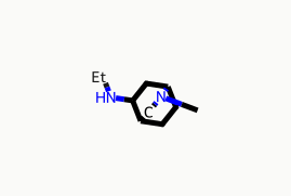 CCNC1CC2CCC1CN2C